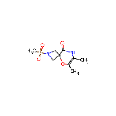 CC1=C(C)OC2(CN(S(C)(=O)=O)C2)C(=O)N1